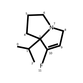 CC(C)C12CCCN1CC=C2F